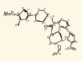 COc1ncc(-c2cccc(N(C[C@H]3CC[C@H](c4ccc(OC)c(C)c4)CC3)C(=O)[C@H]3CC[C@H](OC(C)C)CC3)c2)s1